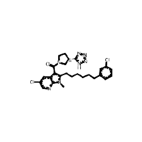 Cn1c(CCCCCCc2cccc(Cl)c2)c(C(=O)N2CC[C@H](c3nnn[nH]3)C2)c2cc(Cl)cnc21